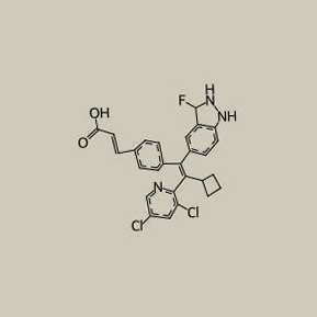 O=C(O)/C=C/c1ccc(/C(=C(\c2ncc(Cl)cc2Cl)C2CCC2)c2ccc3c(c2)C(F)NN3)cc1